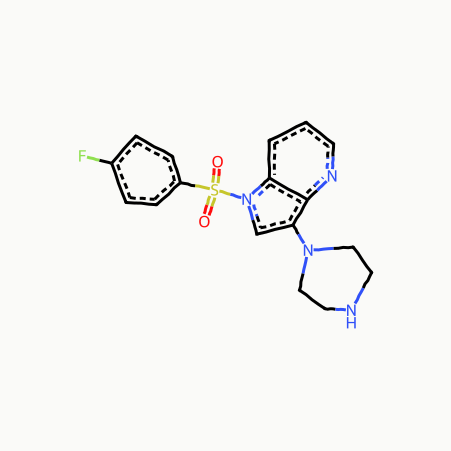 O=S(=O)(c1ccc(F)cc1)n1cc(N2CCNCC2)c2ncccc21